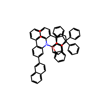 C1=C(c2ccccc2N(c2cc(-c3ccc4ccccc4c3)ccc2-c2ccccc2)c2cccc3c2-c2ccccc2C3(c2ccccc2)c2ccccc2)c2oc3ccccc3c2CC1